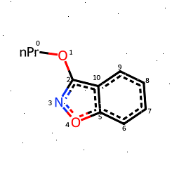 CCCOc1noc2ccccc12